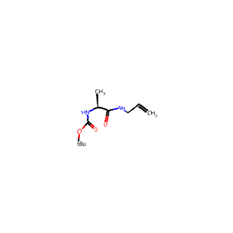 C=CCNC(=O)[C@H](C)NC(=O)OC(C)(C)C